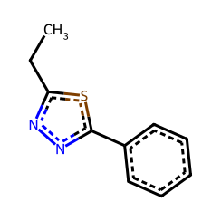 CCc1nnc(-c2ccccc2)s1